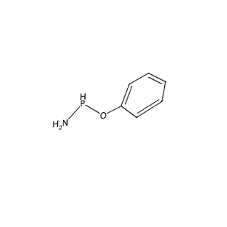 NPOc1ccccc1